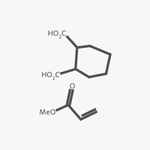 C=CC(=O)OC.O=C(O)C1CCCCC1C(=O)O